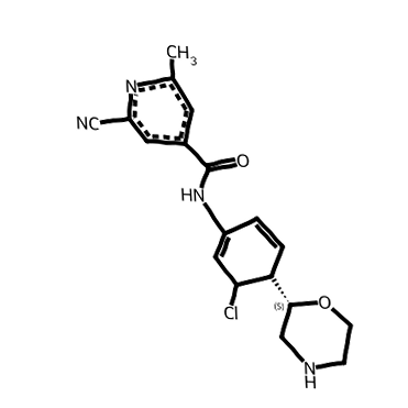 Cc1cc(C(=O)NC2=CC(Cl)C([C@H]3CNCCO3)C=C2)cc(C#N)n1